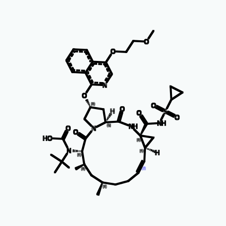 COCCOc1cnc(O[C@@H]2C[C@H]3C(=O)N[C@]4(C(=O)NS(=O)(=O)C5CC5)C[C@H]4/C=C\CC[C@@H](C)C[C@@H](C)[C@H](N(C(=O)O)C(C)(C)C)C(=O)N3C2)c2ccccc12